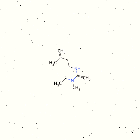 C=C(C)CCNC(=C)N(C)CC